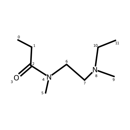 CCC(=O)N(C)CCN(C)CC